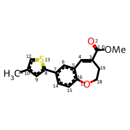 COC(=O)C1=Cc2cc(-c3cc(C)cs3)ccc2OCC1